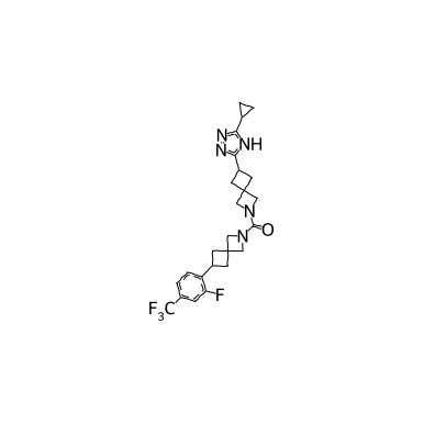 O=C(N1CC2(CC(c3nnc(C4CC4)[nH]3)C2)C1)N1CC2(CC(c3ccc(C(F)(F)F)cc3F)C2)C1